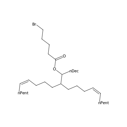 CCCCC/C=C\CCCC(CCC/C=C\CCCCC)C(CCCCCCCCCC)OC(=O)CCCCBr